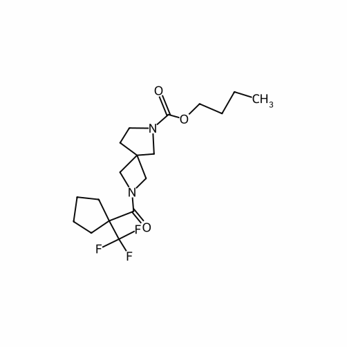 CCCCOC(=O)N1CCC2(C1)CN(C(=O)C1(C(F)(F)F)CCCC1)C2